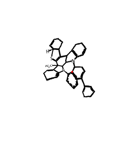 CC12C3=CCCC=C3N(c3ccccc3)C1C1C(C3=C(C=CCC3)N1C1C=CC(C3=CCCC=C3)=CC1)C1=C2S[C@@H]2C=CCCC12